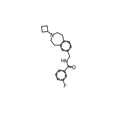 O=C(NCc1ccc2c(c1)CCN(C1CCC1)CC2)c1cccc(F)c1